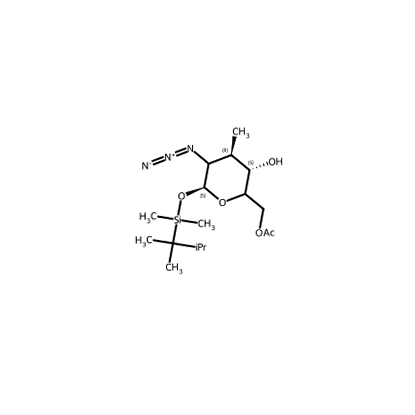 CC(=O)OCC1O[C@@H](O[Si](C)(C)C(C)(C)C(C)C)C(N=[N+]=[N-])[C@@H](C)[C@@H]1O